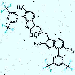 CC1=Cc2c(ccc(C)c2-c2cc(C(F)(F)F)cc(C(F)(F)F)c2)C1C[SiH2]CC1C(C)=Cc2c1ccc(C)c2-c1cc(C(F)(F)F)cc(C(F)(F)F)c1